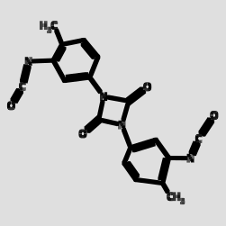 Cc1ccc(N2C(=O)N(c3ccc(C)c(N=C=O)c3)C2=O)cc1N=C=O